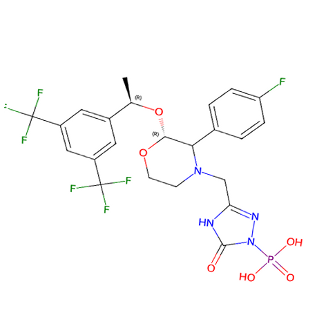 C[C@@H](O[C@H]1OCCN(Cc2nn(P(=O)(O)O)c(=O)[nH]2)C1c1ccc(F)cc1)c1cc(C(F)(F)F)cc(C(F)(F)F)c1